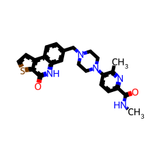 CNC(=O)c1ccc(N2CCN(Cc3ccc4c(c3)[nH]c(=O)c3sccc34)CC2)c(C)n1